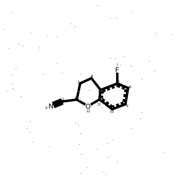 N#CC1CCc2c(F)cccc2O1